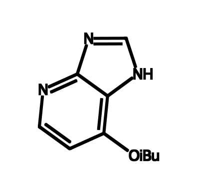 CC(C)COc1ccnc2nc[nH]c12